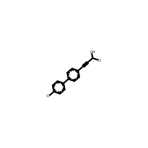 CCC(O)C#Cc1ccc(-c2ccc(Cl)cc2)cc1